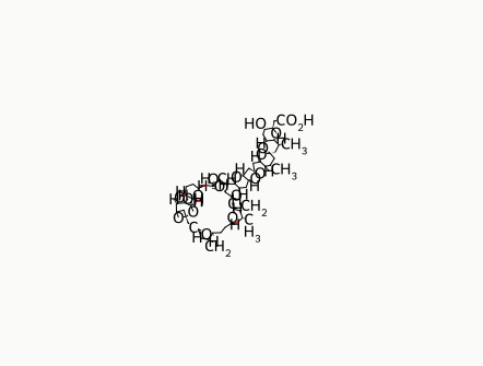 C=C1C[C@@H]2CC[C@]34CC(O3)[C@@H]3O[C@H]5CC[C@H](CC(=O)O[C@@H]6[C@@H](C)[C@@H]7O[C@@H]8C[C@]9(C[C@@H]%10O[C@]%11(C[C@H](C)[C@@H]%12O[C@H](CC(=O)O)[C@H](O)C[C@@H]%12O%11)C[C@H](C)[C@@H]%10O9)O[C@@H]8C[C@@H]7O[C@H]6C[C@H]6O[C@@H](CC[C@@H]1O2)C[C@@H](C)C6=C)O[C@@H]5[C@H](O4)[C@@H]3O